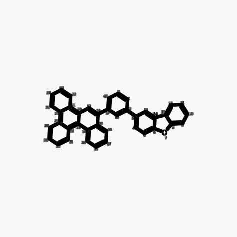 c1cc(-c2ccc3oc4ccccc4c3c2)cc(-c2cc3c4ccccc4c4ccccc4c3c3ccccc23)c1